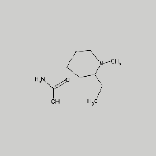 CCC1CCCCN1C.NC(=O)O